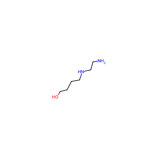 NCCNCCCCO